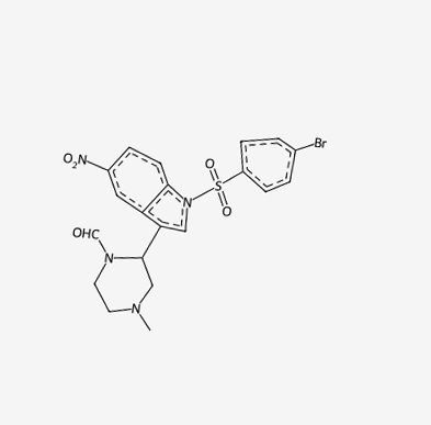 CN1CCN(C=O)C(c2cn(S(=O)(=O)c3ccc(Br)cc3)c3ccc([N+](=O)[O-])cc23)C1